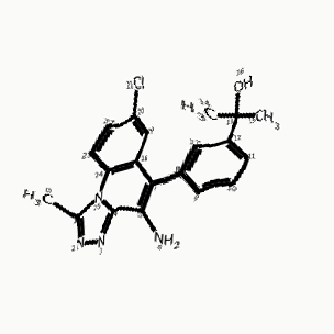 Cc1nnc2c(N)c(-c3cccc(C(C)(C)O)c3)c3cc(Cl)ccc3n12